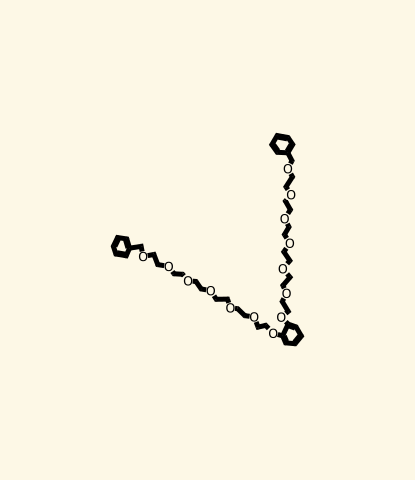 c1ccc(COCCOCCOCCOCCOCCOCCOc2ccccc2OCCOCCOCCOCCOCCOCCOCc2ccccc2)cc1